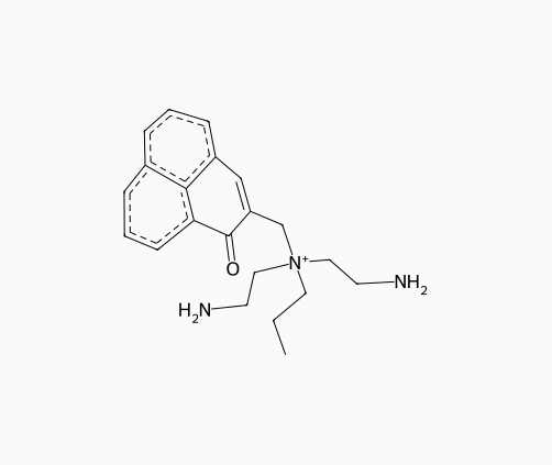 CCC[N+](CCN)(CCN)CC1=Cc2cccc3cccc(c23)C1=O